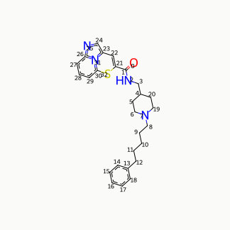 O=C(NCC1CCN(CCCCCc2ccccc2)CC1)C1=Cc2cnc3cccc(n23)S1